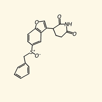 O=C1CCC(c2coc3ccc([S+]([O-])Cc4ccccc4)cc23)C(=O)N1